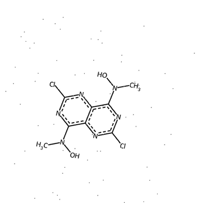 CN(O)c1nc(Cl)nc2c(N(C)O)nc(Cl)nc12